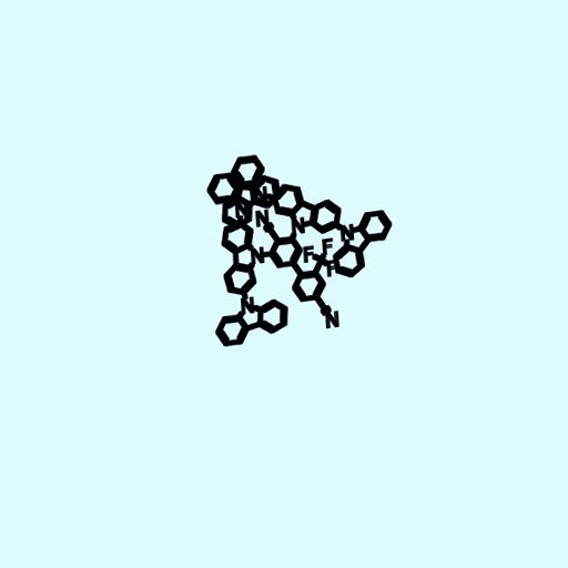 N#Cc1ccc(-c2cc(-n3c4cc(-n5c6ccccc6c6ccccc65)ccc4c4ccc(-n5c6ccccc6c6ccccc65)cc43)c(C#N)c(-n3c4cc(-n5c6ccccc6c6ccccc65)ccc4c4ccc(-n5c6ccccc6c6ccccc65)cc43)c2)c(C(F)(F)F)c1